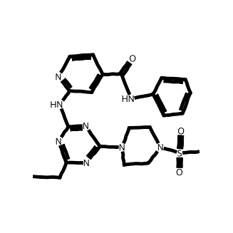 CCc1nc(Nc2cc(C(=O)Nc3ccccc3)ccn2)nc(N2CCN(S(C)(=O)=O)CC2)n1